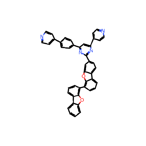 c1ccc2c(c1)oc1c(-c3cccc4c3oc3cc(-c5nc(-c6ccncc6)cc(-c6ccc(-c7ccncc7)cc6)n5)ccc34)cccc12